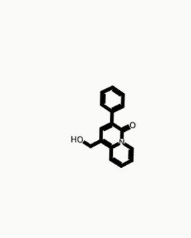 O=c1c(-c2ccccc2)cc(CO)c2ccccn12